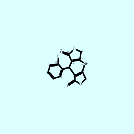 O=C1OCC2=C1C(c1ccccc1F)C1=C(COC1=O)N2